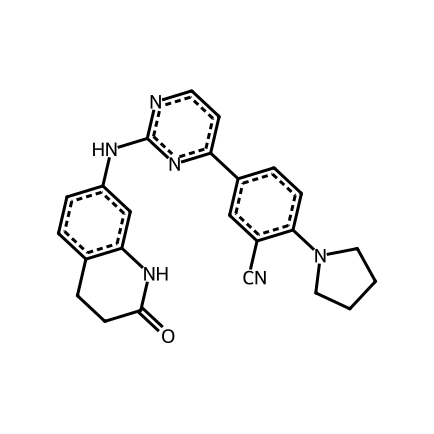 N#Cc1cc(-c2ccnc(Nc3ccc4c(c3)NC(=O)CC4)n2)ccc1N1CCCC1